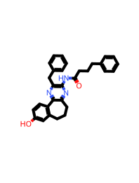 O=C(CCCc1ccccc1)Nc1nc2c(nc1Cc1ccccc1)-c1ccc(O)cc1CCC2